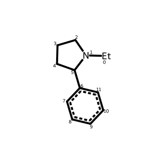 CCN1CCCC1c1ccccc1